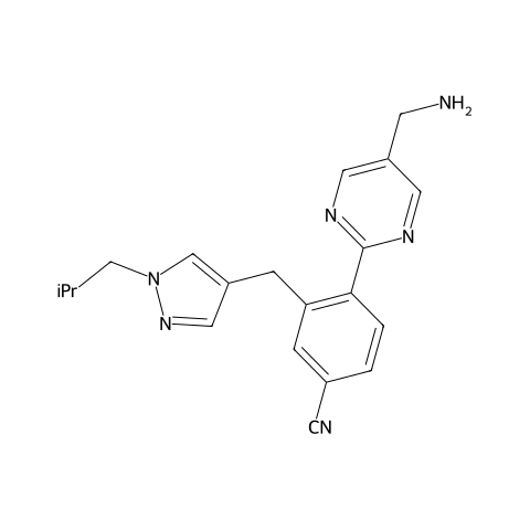 CC(C)Cn1cc(Cc2cc(C#N)ccc2-c2ncc(CN)cn2)cn1